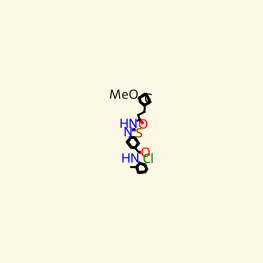 COc1cccc(CCC(=O)Nc2nc3ccc(C(=O)Nc4c(C)cccc4Cl)cc3s2)c1